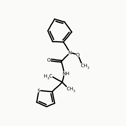 CON(C(=O)NC(C)(C)c1cccs1)c1ccccc1